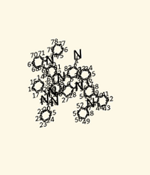 N#Cc1ccc(-c2cc(-c3nc(-c4ccccc4)nc(-c4ccccc4)n3)ccc2-n2c3ccccc3c3cc4c5ccccc5n(-c5ccccc5)c4cc32)c(-n2c3ccccc3c3cc4c5ccccc5n(-c5ccccc5)c4cc32)c1